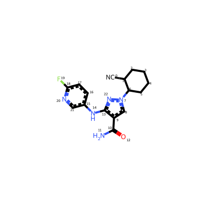 N#CC1CCCCC1n1cc(C(N)=O)c(Nc2ccc(F)nc2)n1